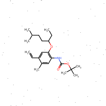 C=Cc1cc(OC(CC)CCC(C)C)c(NC(=O)OC(C)(C)C)cc1C